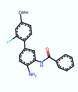 COc1ccc(-c2ccc(N)c(NC(=O)c3ccccc3)c2)c(F)c1